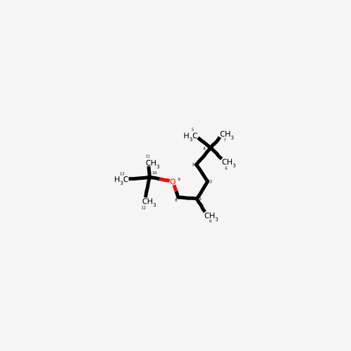 CC(CCC(C)(C)C)COC(C)(C)C